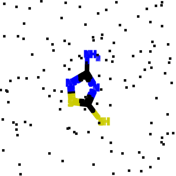 Nc1nsc(S)n1